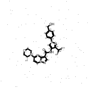 C[C@@H]1COCCN1c1ccn2ncc(C(=O)Nc3cn(-c4ccc(CO)cc4)nc3C(F)F)c2n1